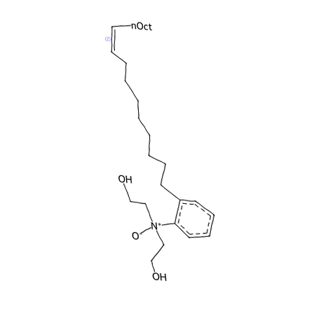 CCCCCCCC/C=C\CCCCCCCCc1ccccc1[N+]([O-])(CCO)CCO